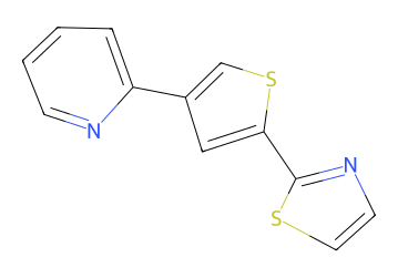 c1ccc(-c2csc(-c3nccs3)c2)nc1